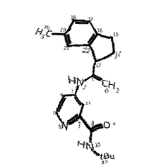 C=C(Nc1ccnc(C(=O)NC(C)(C)C)c1)C1CCc2ccc(C)cc21